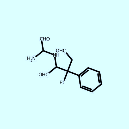 CCC(CC=O)(c1ccccc1)C(C=O)NC(N)C=O